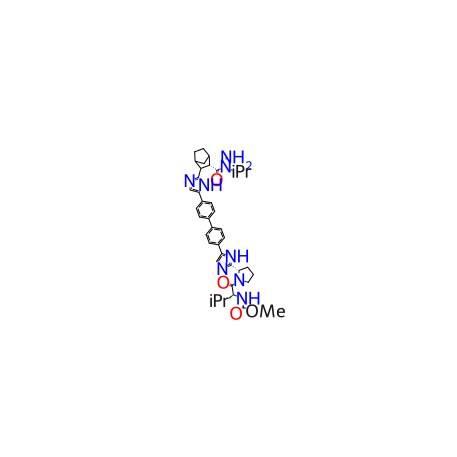 COC(=O)N[C@H](C(=O)N1CCC[C@H]1c1ncc(-c2ccc(-c3ccc(-c4cnc(C5C6CCC(C6)[C@@H]5C(=O)N(N)C(C)C)[nH]4)cc3)cc2)[nH]1)C(C)C